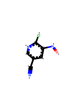 N#Cc1cnc(Cl)c(N=O)c1